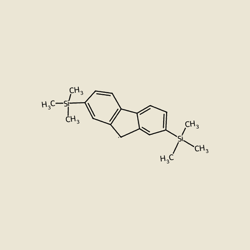 C[Si](C)(C)c1ccc2c(c1)[CH]c1cc([Si](C)(C)C)ccc1-2